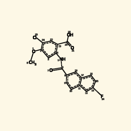 COc1cc(NC(=O)c2ccc3cc(F)ccc3c2)c(C(=O)O)cc1Cl